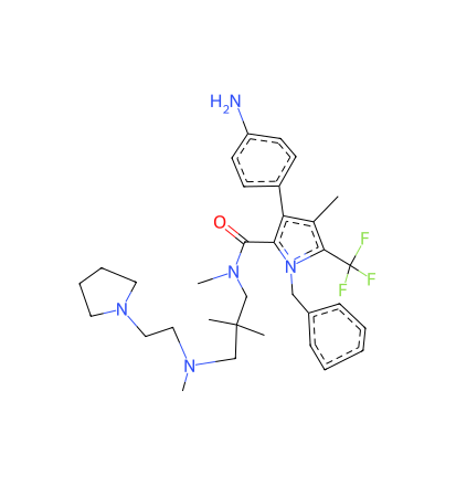 Cc1c(-c2ccc(N)cc2)c(C(=O)N(C)CC(C)(C)CN(C)CCN2CCCC2)n(Cc2ccccc2)c1C(F)(F)F